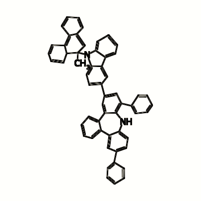 CC1(n2c3ccccc3c3cc(-c4cc(-c5ccccc5)c5c(c4)-c4ccccc4-c4cc(-c6ccccc6)ccc4N5)ccc32)C=c2ccccc2=C2C=CC=CC21